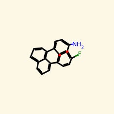 Nc1ccc(-c2cccc3cccc(-c4ccc(F)cc4)c23)cc1